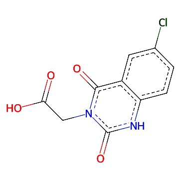 O=C(O)Cn1c(=O)[nH]c2ccc(Cl)cc2c1=O